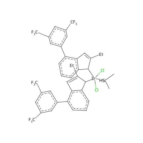 CCC1=Cc2c(-c3cc(C(F)(F)F)cc(C(F)(F)F)c3)cccc2[CH]1[Zr]([Cl])([Cl])([CH]1C(CC)=Cc2c(-c3cc(C(F)(F)F)cc(C(F)(F)F)c3)cccc21)[SiH](C)C